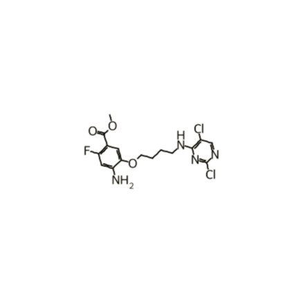 COC(=O)c1cc(OCCCCNc2nc(Cl)ncc2Cl)c(N)cc1F